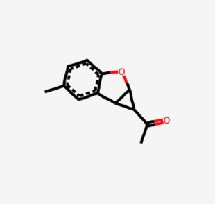 CC(=O)C1C2Oc3ccc(C)cc3C21